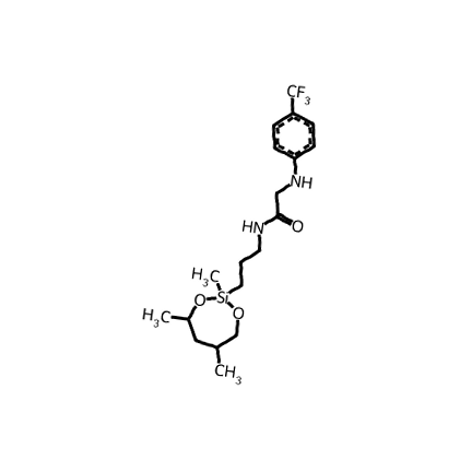 CC1CO[Si](C)(CCCNC(=O)CNc2ccc(C(F)(F)F)cc2)OC(C)C1